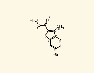 COC(=O)c1sc2cc(Br)ccc2c1C